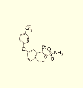 CCC1c2cc(Oc3ccc(C(F)(F)F)cc3)ccc2CCN1S(N)(=O)=O